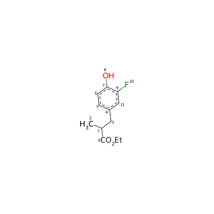 CCOC(=O)C(C)Cc1ccc(O)c(F)c1